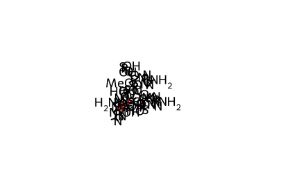 COC1C(COP(O)(O)=S)OC(n2cnc3c(N)ncnc32)C1OP(O)(=S)OCC1OC(n2cnc3c(N)ncnc32)C(OP(O)(=S)OCC2OC(n3cnc4c(N)ncnc43)C(OP(O)(=S)OCC3OC(n4cnc5c(C)ncnc54)C(O)C3O)C2OC)C1OC